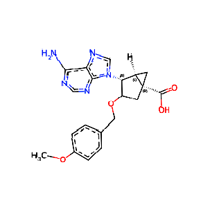 COc1ccc(COC2C[C@]3(C(=O)O)C[C@@H]3[C@H]2n2cnc3c(N)ncnc32)cc1